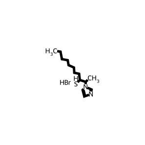 Br.CCCCCCCCC(S)C(C)n1ccnc1